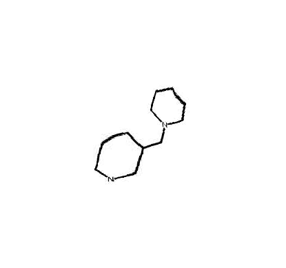 C1CCN(CC2CCC[N]C2)CC1